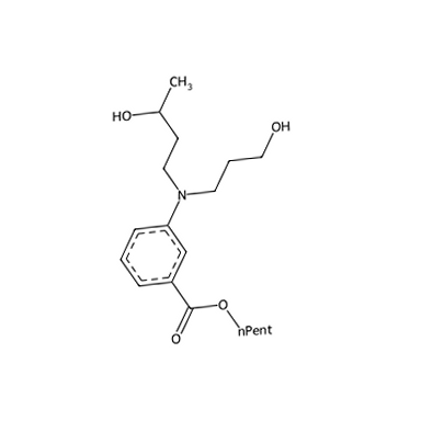 CCCCCOC(=O)c1cccc(N(CCCO)CCC(C)O)c1